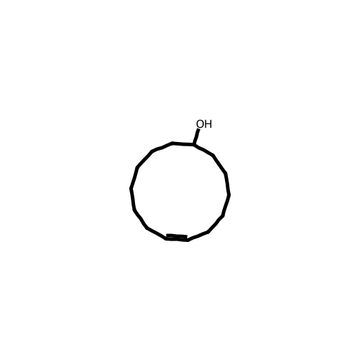 OC1CCCCCC=CCCCCCC1